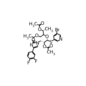 CC(=O)OCC(O[C@H](Sc1cncc(Br)c1)[C@@H](Cn1cc(-c2ccc(F)c(F)c2)nn1)OC(C)=O)[C@@H](C)OC(C)=O